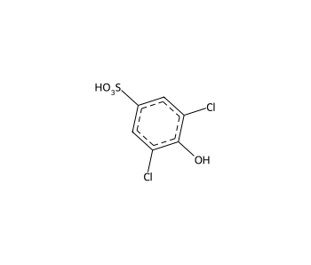 O=S(=O)(O)c1cc(Cl)c(O)c(Cl)c1